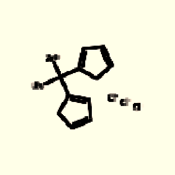 CC(C)(C)[C]([Zr+3])(C1=CC=CC1)C1=CC=CC1.[Cl-].[Cl-].[Cl-]